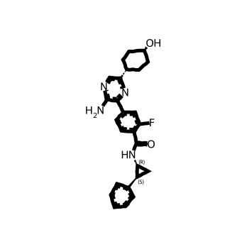 Nc1ncc([C@H]2CC[C@H](O)CC2)nc1-c1ccc(C(=O)N[C@@H]2C[C@H]2c2ccccc2)c(F)c1